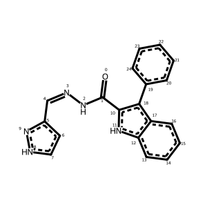 O=C(N/N=C\c1cc[nH]n1)c1[nH]c2ccccc2c1-c1ccccc1